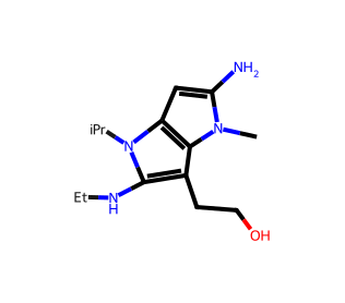 CCNc1c(CCO)c2c(cc(N)n2C)n1C(C)C